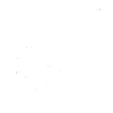 CCCCCCCCC(C)C(C(=O)O)C1(C(=O)O)OOOO1